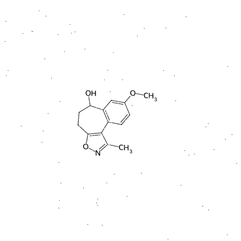 COc1ccc2c(c1)C(O)CCc1onc(C)c1-2